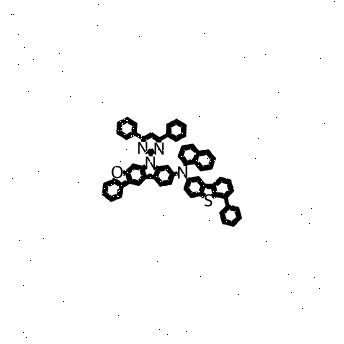 c1ccc(-c2cc(-c3ccccc3)nc(-n3c4cc(N(c5ccc6sc7c(-c8ccccc8)cccc7c6c5)c5cccc6ccccc56)ccc4c4cc5c(cc43)oc3ccccc35)n2)cc1